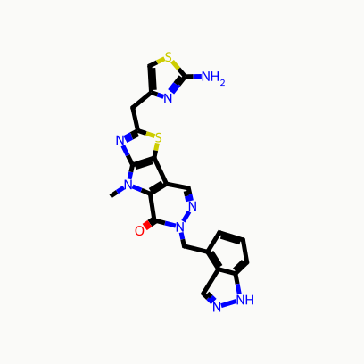 Cn1c2nc(Cc3csc(N)n3)sc2c2cnn(Cc3cccc4[nH]ncc34)c(=O)c21